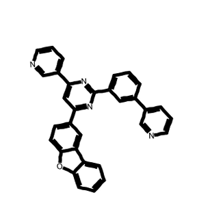 c1cncc(-c2cccc(-c3nc(-c4cccnc4)cc(-c4ccc5oc6ccccc6c5c4)n3)c2)c1